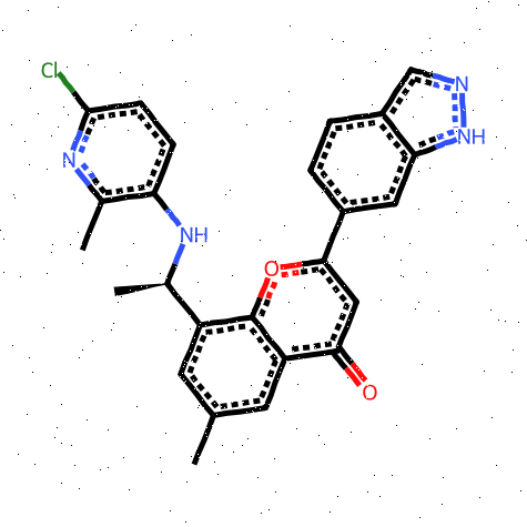 Cc1cc([C@@H](C)Nc2ccc(Cl)nc2C)c2oc(-c3ccc4cn[nH]c4c3)cc(=O)c2c1